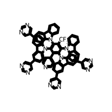 FC(F)(F)c1c(-n2c3ccccc3c3ccccc32)c(-n2c3ccc(-c4cncnc4)cc3c3cc(-c4cncnc4)ccc32)c(-c2ccncc2)c(-n2c3ccc(-c4cncnc4)cc3c3cc(-c4cncnc4)ccc32)c1-n1c2ccccc2c2ccccc21